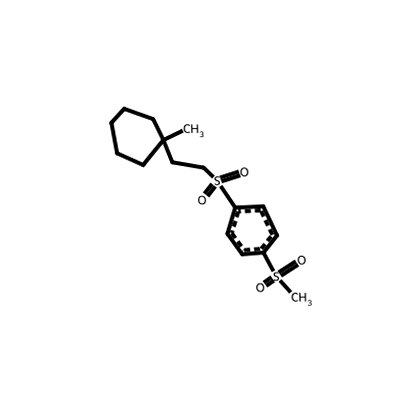 CC1(CCS(=O)(=O)c2ccc(S(C)(=O)=O)cc2)CCCCC1